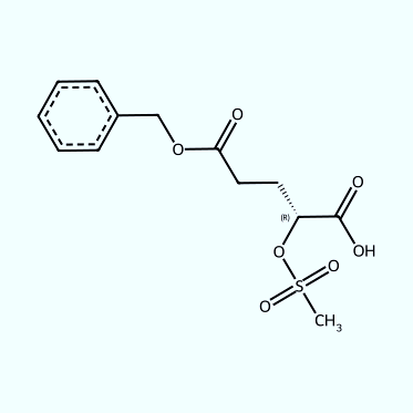 CS(=O)(=O)O[C@H](CCC(=O)OCc1ccccc1)C(=O)O